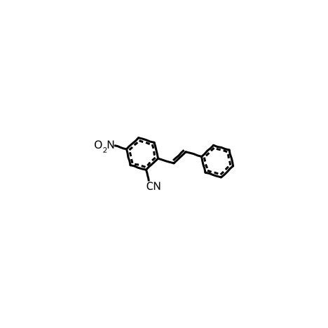 N#Cc1cc([N+](=O)[O-])ccc1C=Cc1ccccc1